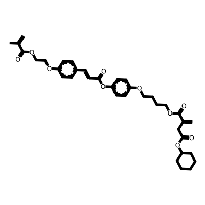 C=C(C)C(=O)OCCOc1ccc(/C=C/C(=O)Oc2ccc(OCCCCOC(=O)C(=C)CC(=O)OC3CCCCC3)cc2)cc1